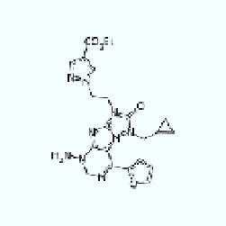 CCOC(=O)c1cnn(CCn2c(=O)n(CC3CC3)n3c4c(nc23)N(N)CN=C4c2ccco2)c1